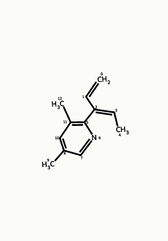 C=C/C(=C/C)c1ncc(C)cc1C